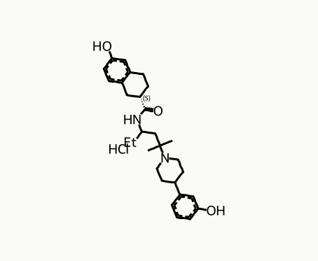 CCC(CC(C)(C)N1CCC(c2cccc(O)c2)CC1)NC(=O)[C@H]1CCc2cc(O)ccc2C1.Cl